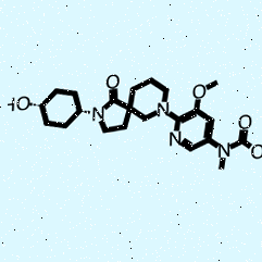 COc1cc(N(C)C(=O)O)cnc1N1CCCC2(CCN([C@H]3CC[C@@H](O)CC3)C2=O)C1